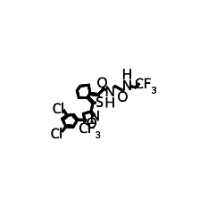 O=C(CNC(=O)c1sc(C2=NOC(c3cc(Cl)cc(Cl)c3)(C(F)(F)F)C2)c2c1CCCC2)NCC(F)(F)F